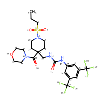 CCCS(=O)(=O)N1CCC(CNC(=O)Nc2cc(C(F)(F)F)cc(C(F)(F)F)c2)(C(=O)N2CCOCC2)CC1